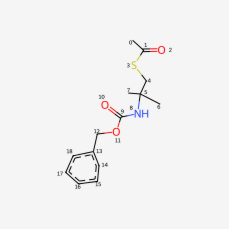 CC(=O)SCC(C)(C)NC(=O)OCc1ccccc1